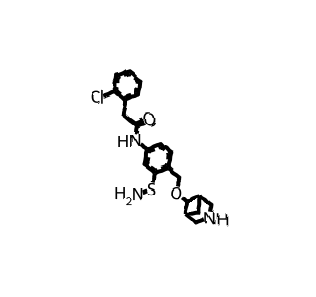 NSc1cc(NC(=O)Cc2ccccc2Cl)ccc1COC1C2CNCC1C2